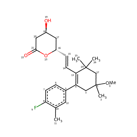 COC1(C)CC(c2ccc(F)c(C)c2)=C(C=C[C@H]2C[C@H](O)CC(=O)O2)C(C)(C)C1